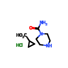 Cl.NC(=O)N1CCNCC1.O=C(O)C1CC1